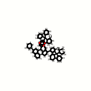 c1ccc(-c2cc(-c3c4cccc(-c5ccc6c(c5)C(c5ccccc5)(c5ccccc5)c5ccccc5O6)c4cc4c(-c5cccc6c5C(c5ccccc5)(c5ccccc5)c5ccccc5O6)cccc34)c3ccccc3c2)cc1